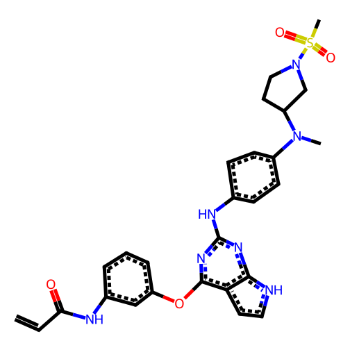 C=CC(=O)Nc1cccc(Oc2nc(Nc3ccc(N(C)C4CCN(S(C)(=O)=O)C4)cc3)nc3[nH]ccc23)c1